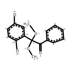 COC(OC)(C(=O)c1ccccc1)c1cc(Cl)ccc1Cl